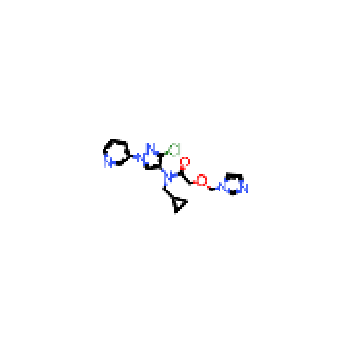 O=C(COCn1ccnc1)N(CC1CC1)c1cn(-c2cccnc2)nc1Cl